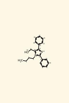 CCCCn1c(-c2ccccc2)nc(-c2ccccc2)c1CO